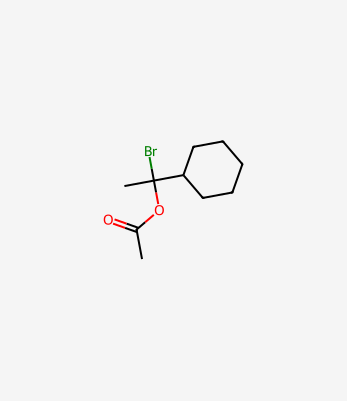 CC(=O)OC(C)(Br)C1CCCCC1